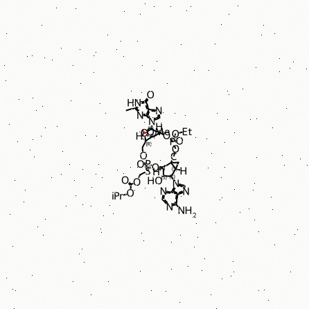 CCO[P@@]1(=O)OCC23C[C@@H]2[C@@H](n2cnc4c(N)ncnc42)[C@H](O)[C@@H]3O[P@@](=O)(SCOC(=O)OC(C)C)OC[C@H]2O[C@@H](n3cnc4c(=O)[nH]c(C)nc43)[C@H](O1)[C@@H]2OC